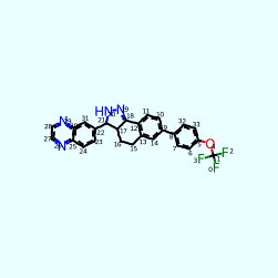 FC(F)(F)Oc1ccc(-c2ccc3c(c2)CCC2C3=NNC2c2ccc3nccnc3c2)cc1